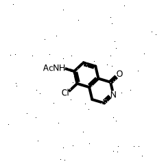 CC(=O)Nc1ccc2c(c1Cl)CC=NC2=O